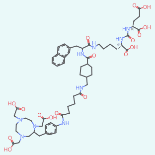 O=C(O)CC[C@H](NC(=O)N[C@@H](CCCCNC(=O)C(Cc1ccc2ccccc2c1)NC(=O)C1CCC(CNC(=O)CCCCC(=O)Nc2ccc(CC3CN(CC(=O)O)CCN(CC(=O)O)CCN3CC(=O)O)cc2)CC1)C(=O)O)C(=O)O